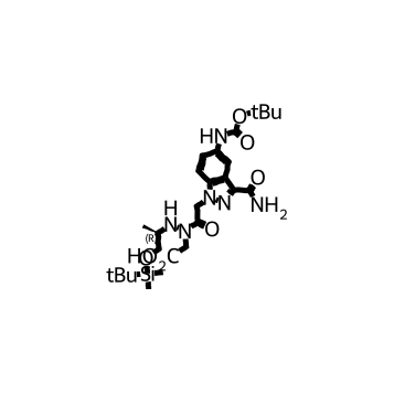 C[C@H](CO[Si](C)(C)C(C)(C)C)NN(CC(=O)O)C(=O)Cn1nc(C(N)=O)c2cc(NC(=O)OC(C)(C)C)ccc21